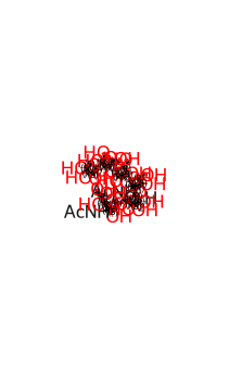 CC(=O)N[C@H]1[C@H](O[C@H]2[C@@H](O)[C@@H](CO)O[C@@H](O[C@H]3[C@H](O[C@@H]4O[C@@H](C)[C@@H](O)[C@@H](O)[C@@H]4O)[C@@H](O)C(O)O[C@@H]3CO)[C@@H]2O)O[C@H](CO)[C@@H](O)[C@@H]1O[C@@H]1O[C@H](CO[C@]2(C(=O)O)C[C@H](O)[C@@H](NC(C)=O)[C@H]([C@H](O)[C@H](O)CO)O2)[C@H](O)[C@H](O)[C@H]1O